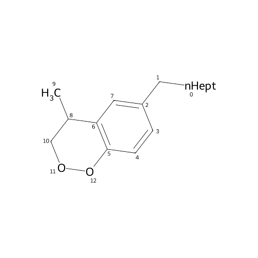 CCCCCCCCc1ccc2c(c1)C(C)COO2